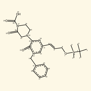 CC(C)(C)[Si](C)(C)OCC=Cc1cn(Cc2ccccc2)c(=O)c(N2CCN(C(=O)O)C(=O)C2)n1